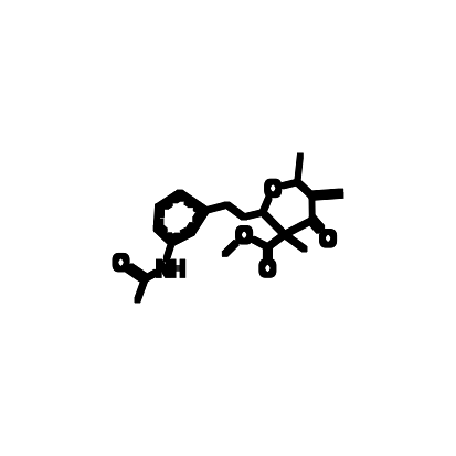 C=C1C(=O)C(C)(C(=O)OC)C(CCc2cccc(NC(C)=O)c2)OC1C